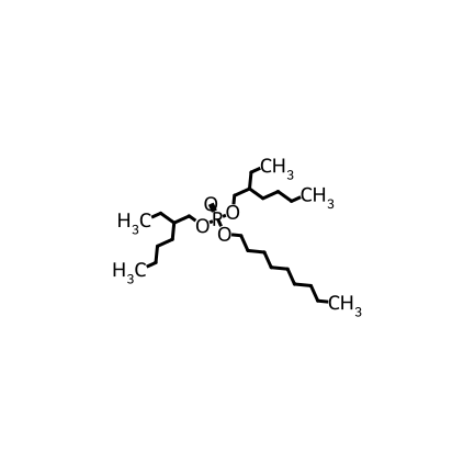 CCCCCCCCCOP(=O)(OCC(CC)CCCC)OCC(CC)CCCC